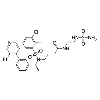 CCc1cnccc1-c1cccc([C@H](C)N(CCCC(=O)NCCNS(N)(=O)=O)S(=O)(=O)c2cccc(Cl)c2C)c1